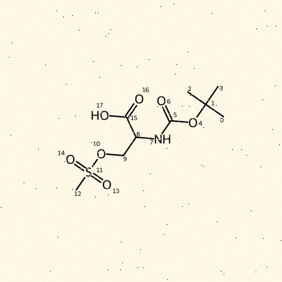 CC(C)(C)OC(=O)NC(COS(C)(=O)=O)C(=O)O